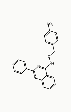 O=[N+]([O-])c1ccc(CONc2nc(-c3ccccc3)nc3ccccc23)cc1